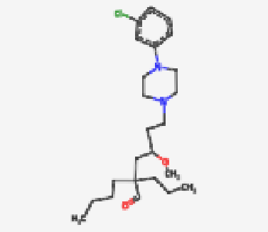 CCCCC(C=O)(CCC)CC(CCN1CCN(c2cccc(Cl)c2)CC1)OC